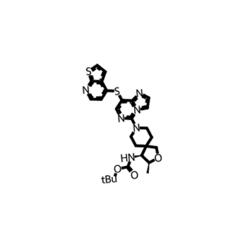 C[C@@H]1OCC2(CCN(c3ncc(Sc4ccnc5sccc45)c4nccn34)CC2)[C@@H]1NC(=O)OC(C)(C)C